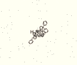 NC(NC(=O)OCc1ccccc1)C(=O)Nc1c(F)cccc1C(=O)c1ccccc1